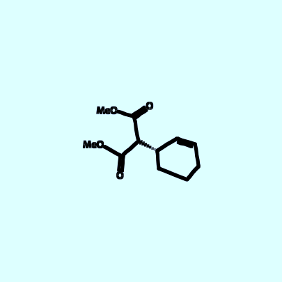 COC(=O)C(C(=O)OC)[C@@H]1C=CCCC1